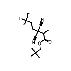 CC(C(=O)OCC(C)(C)C)C(C#N)(C#N)CCC(F)(F)F